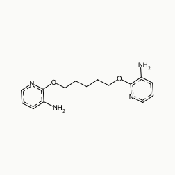 Nc1cccnc1OCCCCCOc1ncccc1N